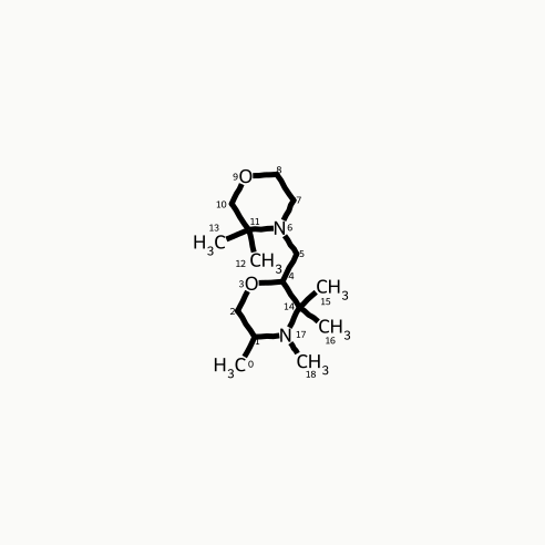 CC1COC(CN2CCOCC2(C)C)C(C)(C)N1C